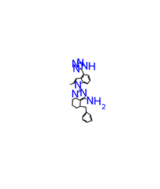 Cc1cc2c(-c3nnn[nH]3)cccc2n1-c1nc(N)c2c(n1)CCCC2Cc1ccccc1